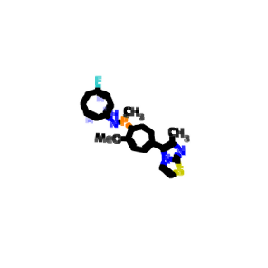 COC1=CC=C(c2c(C)nc3sccn23)CCC1P(C)NC1=C/C=C(/F)CC/C=C\1